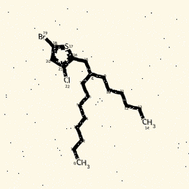 CCCCCCCCC(CCCCCC)Cc1sc(Br)cc1Cl